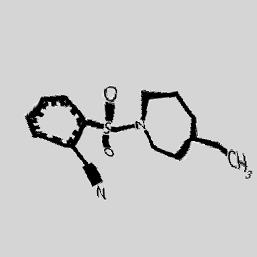 CC1CCCN(S(=O)(=O)c2ccccc2C#N)CC1